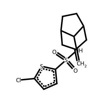 C=C1CC2CCC(C1)C2NS(=O)(=O)c1ccc(Cl)s1